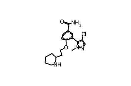 Cn1ncc(Cl)c1-c1cc(C(N)=O)ccc1OCCC1CCCCN1